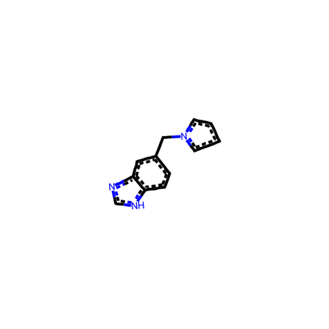 c1ccn(Cc2ccc3[nH]cnc3c2)c1